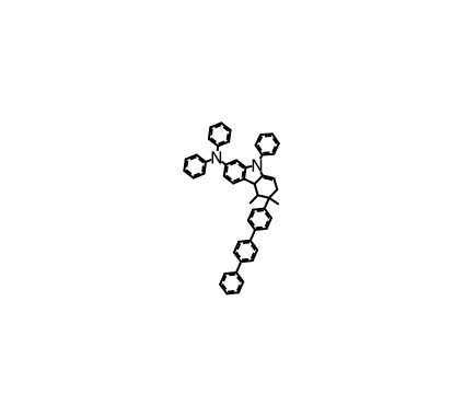 CC1C2C(=CCC1(C)c1ccc(-c3ccc(-c4ccccc4)cc3)cc1)N(c1ccccc1)c1cc(N(c3ccccc3)c3ccccc3)ccc12